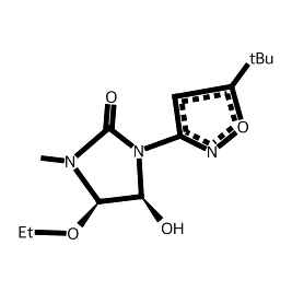 CCO[C@@H]1[C@H](O)N(c2cc(C(C)(C)C)on2)C(=O)N1C